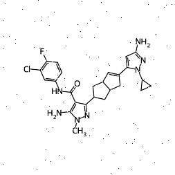 Cn1nc(C2CC3C=C(c4cc(N)nn4C4CC4)CC3C2)c(C(=O)Nc2ccc(F)c(Cl)c2)c1N